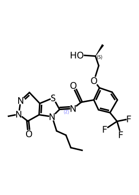 CCCCn1/c(=N/C(=O)c2cc(C(F)(F)F)ccc2OC[C@H](C)O)sc2cnn(C)c(=O)c21